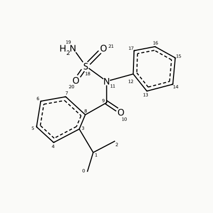 CC(C)c1ccccc1C(=O)N(c1ccccc1)S(N)(=O)=O